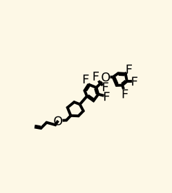 C=CCCOCC1CCC(c2cc(F)c(C(F)(F)Oc3cc(F)c(F)c(F)c3)c(F)c2)CC1